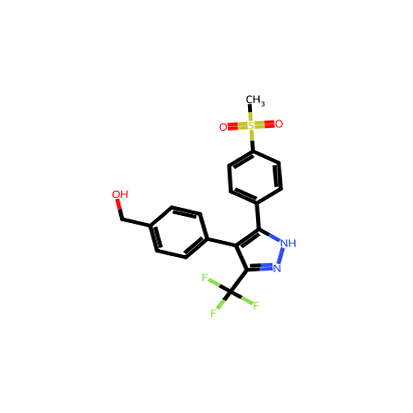 CS(=O)(=O)c1ccc(-c2[nH]nc(C(F)(F)F)c2-c2ccc(CO)cc2)cc1